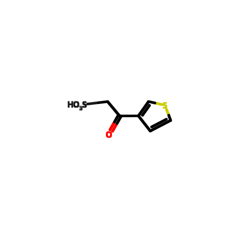 O=C(CS(=O)(=O)O)c1ccsc1